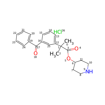 CC(C)(C(=O)OC1CCNCC1)c1cccc(C(=O)c2ccccc2)c1.Cl